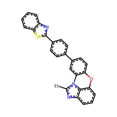 CCc1nc2cccc3c2n1-c1cc(-c2ccc(-c4nc5ccccc5s4)cc2)ccc1O3